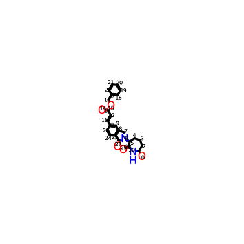 O=C1CCCC(N2Cc3cc(C=CC(=O)OCc4ccccc4)ccc3C2=O)C(=O)N1